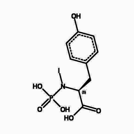 O=C(O)[C@H](Cc1ccc(O)cc1)N(I)P(=O)(O)O